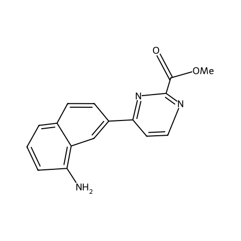 COC(=O)c1nccc(-c2ccc3cccc(N)c3c2)n1